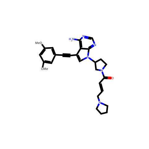 COc1cc(C#Cc2cn(C3CCN(C(=O)C=CCN4CCCC4)C3)c3ncnc(N)c23)cc(OC)c1